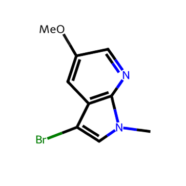 COc1cnc2c(c1)c(Br)cn2C